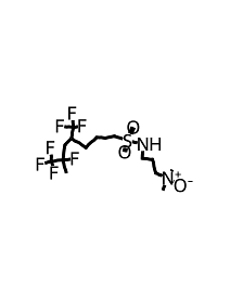 CC(F)(CC(CCCCS(=O)(=O)NCCC[N+](C)(C)[O-])C(F)(F)F)C(F)(F)F